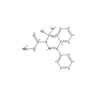 [2H]C([2H])([2H])C(N=C(c1ccccc1)c1ccccc1)C(=O)OC(C)(C)C